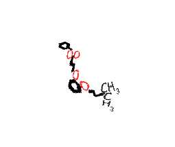 CC(C)CCCOc1ccccc1OCCCC(=O)OCc1ccccc1